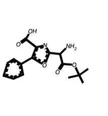 CC(C)(C)OC(=O)C(N)c1nc(C(=O)O)c(-c2ccccc2)o1